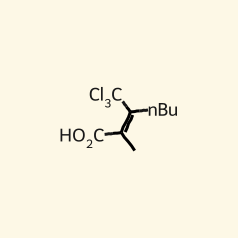 CCCCC(=C(C)C(=O)O)C(Cl)(Cl)Cl